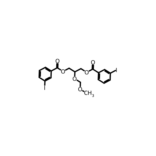 COCOC(COC(=O)c1cccc(I)c1)COC(=O)c1cccc(I)c1